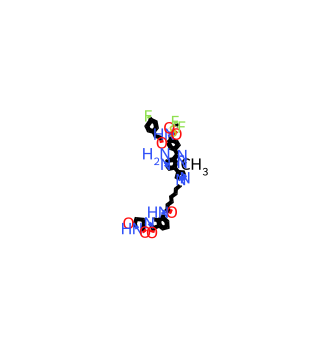 Cn1nc(-c2ccc(NS(=O)(=O)C(F)F)c(OCCc3ccc(F)cc3)c2)c2c(N)ncc(-c3cnn(CCCCCCC(=O)Nc4cccc5c4CN(C4CCC(=O)NC4=O)C5=O)c3)c21